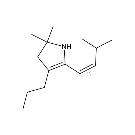 CCCC1=C(/C=C\C(C)C)NC(C)(C)C1